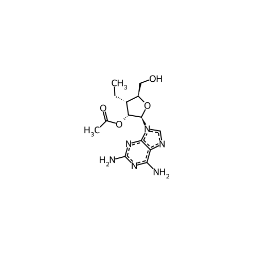 CC[C@H]1[C@@H](OC(C)=O)[C@H](n2cnc3c(N)nc(N)nc32)O[C@@H]1CO